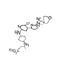 CCOC(=O)CC(C)N[C@H]1CC[C@H](Nc2cc(-c3cccc(NCC4(C#N)CCOCC4)n3)c(Cl)cn2)CC1